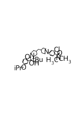 CC(C)Oc1cccc(C(O)(C(=O)N2CCC(CC3CCN(c4ccc(C(=O)N(C)C)c(Cl)c4)CC3)CC2)C(C)(C)C)c1